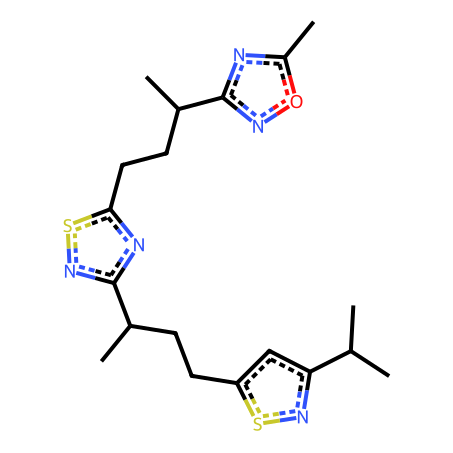 Cc1nc(C(C)CCc2nc(C(C)CCc3cc(C(C)C)ns3)ns2)no1